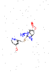 COc1ccnc(CSc2nc3cc4c(cc3[nH]2)OCO4)c1